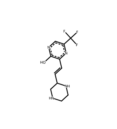 Oc1ncc(C(F)(F)F)nc1C=CC1CNCCN1